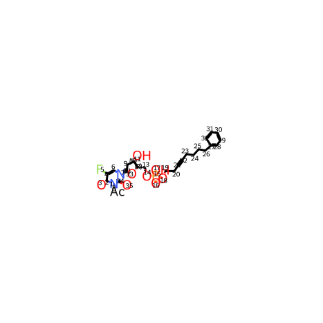 CC(=O)n1c(=O)c(F)cn([C@H]2C[C@H](O)[C@@H](COP(=O)(O)OCCC#CCCCCc3ccccc3)O2)c1=O